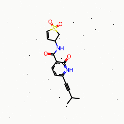 CC(C)C#Cc1ccc(C(=O)NC2C=CS(=O)(=O)C2)c(=O)[nH]1